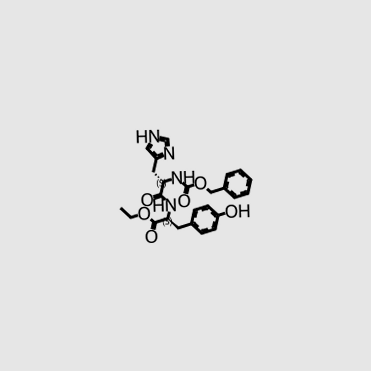 CCOC(=O)[C@H](Cc1ccc(O)cc1)NC(=O)[C@H](Cc1c[nH]cn1)NC(=O)OCc1ccccc1